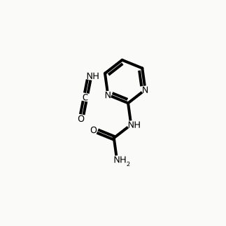 N=C=O.NC(=O)Nc1ncccn1